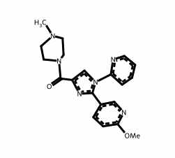 COc1ccc(-c2nc(C(=O)N3CCN(C)CC3)cn2-c2ccccn2)cn1